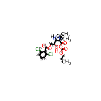 C=CCOC(=O)OC(=O)C(C(N)C(O)COC(=O)c1c(Cl)cccc1Cl)C(C)(C)C